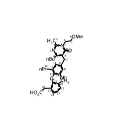 CCCCc1nc(C)n(CCOC)c(=O)c1Cc1cc(CCC)c(Oc2c(C)cccc2CC(=O)O)c(CCC)c1